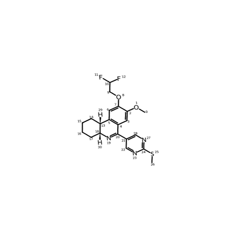 COc1cc2c(cc1OCC(F)F)[C@H]1CCCC[C@H]1N=C2c1cnc(SC)nc1